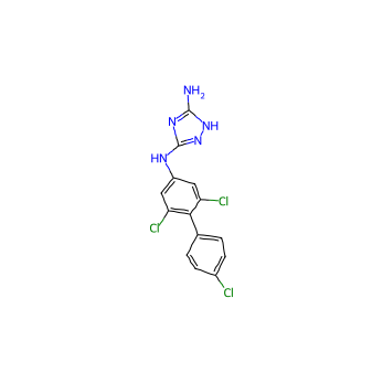 Nc1nc(Nc2cc(Cl)c(-c3ccc(Cl)cc3)c(Cl)c2)n[nH]1